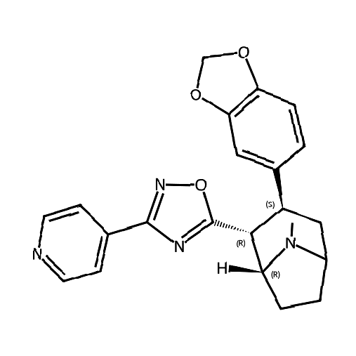 CN1C2CC[C@@H]1[C@H](c1nc(-c3ccncc3)no1)[C@@H](c1ccc3c(c1)OCO3)C2